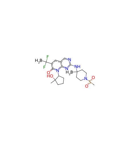 BC1(Nc2ncc3cc(C(B)(F)F)c(=O)n(C4CCCC4(C)O)c3n2)CCN(S(C)(=O)=O)CC1